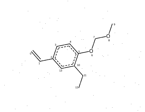 C=Cc1ccc(OCOC)c(CC)c1